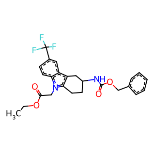 CCOC(=O)Cn1c2c(c3cc(C(F)(F)F)ccc31)CC(NC(=O)OCc1ccccc1)CC2